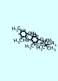 Cc1cc(C)c(Bc2c(C)cc(O[Si](C)(C)C(C)(C)C)cc2C)c(C)c1